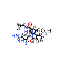 N=C(N)c1ccc(NC(=O)c2ccccc2-c2ccc(C(=O)NCC3CC3)cc2C(=O)O)cc1